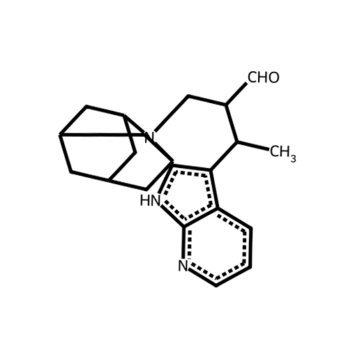 CC(c1c[nH]c2ncccc12)C(C=O)CN1C2CC3CC(C2)CC1C3